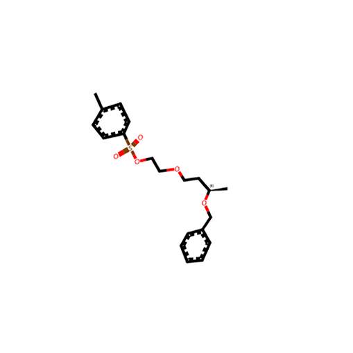 Cc1ccc(S(=O)(=O)OCCOCC[C@@H](C)OCc2ccccc2)cc1